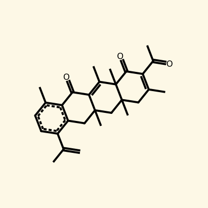 C=C(C)c1ccc(C)c2c1CC1(C)CC3(C)CC(C)=C(C(C)=O)C(=O)C3(C)C(C)=C1C2=O